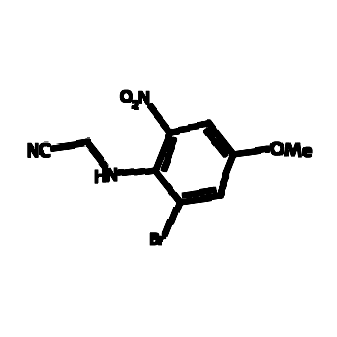 COc1cc(Br)c(NCC#N)c([N+](=O)[O-])c1